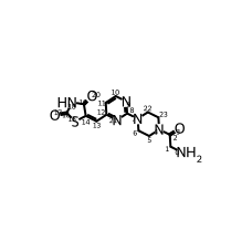 NCC(=O)N1CCN(c2nccc(/C=C3/SC(=O)NC3=O)n2)CC1